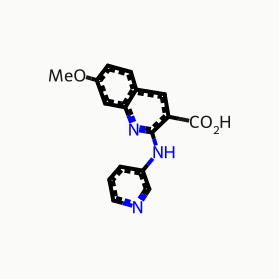 COc1ccc2cc(C(=O)O)c(Nc3cccnc3)nc2c1